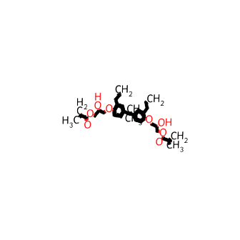 C=CCc1cc(C(C)(C)c2ccc(OCC(O)COC(=O)C(=C)C)c(CC=C)c2)ccc1OCC(O)COC(=O)C(=C)C